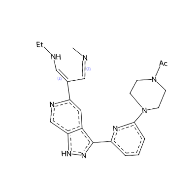 CCN/C=C(\C=N/C)c1cc2c(-c3cccc(N4CCN(C(C)=O)CC4)n3)n[nH]c2cn1